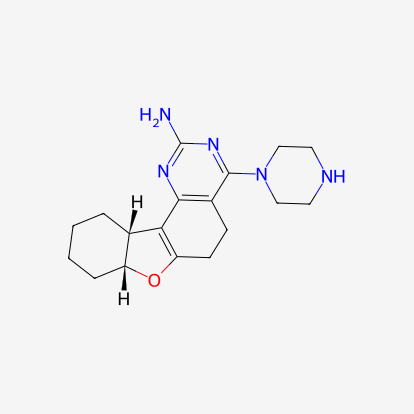 Nc1nc2c(c(N3CCNCC3)n1)CCC1=C2[C@H]2CCCC[C@H]2O1